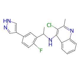 Cc1nc2ccccc2c(NC(C)c2cc(-c3cn[nH]c3)ccc2F)c1Cl